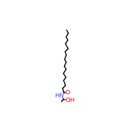 CCCCCCCCCCCCCCCCCC(=O)N[C](C)O